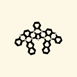 c1ccc2c(c1)Sc1ccc3c4c1N2c1cc2ccccc2cc1B4c1sc2c4c1N3c1ccccc1N4c1ccc3c4c1B2c1cc2ccccc2cc1N4c1ccccc1S3